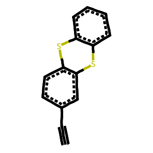 [C]#Cc1ccc2c(c1)Sc1ccccc1S2